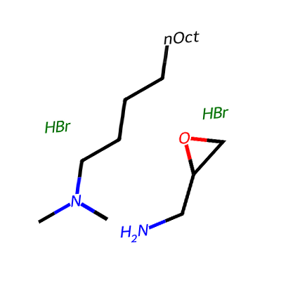 Br.Br.CCCCCCCCCCCCN(C)C.NCC1CO1